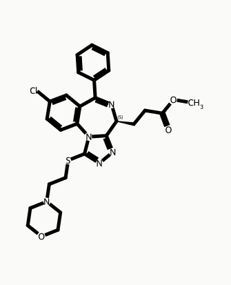 COC(=O)CC[C@@H]1N=C(c2ccccc2)c2cc(Cl)ccc2-n2c(SCCN3CCOCC3)nnc21